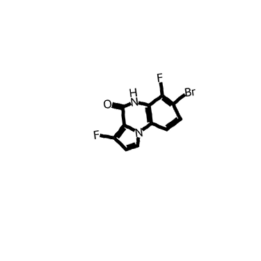 O=c1[nH]c2c(F)c(Br)ccc2n2ccc(F)c12